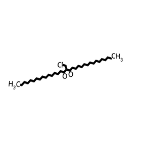 CCCCCCCCCCCCCCCC(=O)C(CCl)C(=O)CCCCCCCCCCCCCCC